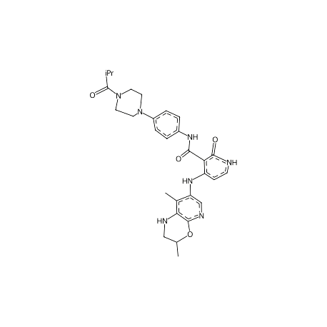 Cc1c(Nc2cc[nH]c(=O)c2C(=O)Nc2ccc(N3CCN(C(=O)C(C)C)CC3)cc2)cnc2c1NCC(C)O2